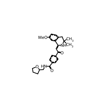 COc1ccc2c(c1)C(=CC(=O)c1ccc(C(=O)NCC3CCCO3)cc1)NC(C)(C)C2